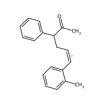 CC(=O)C(C/C=C\c1ccccc1C)c1ccccc1